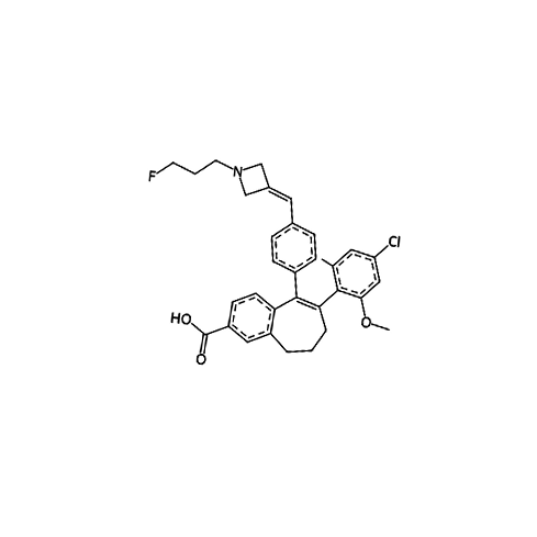 COc1cc(Cl)cc(C)c1C1=C(c2ccc(C=C3CN(CCCF)C3)cc2)c2ccc(C(=O)O)cc2CCC1